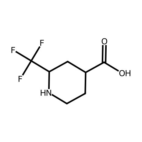 O=C(O)C1CCNC(C(F)(F)F)C1